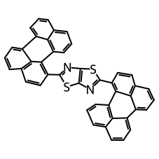 c1cc2cccc3c4c(-c5nc6sc(-c7ccc8cccc9c%10cccc%11cccc(c7c89)c%11%10)nc6s5)ccc5cccc(c(c1)c23)c54